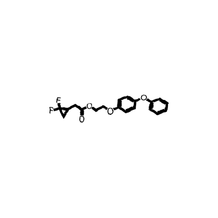 O=C(CC1CC1(F)F)OCCOc1ccc(Oc2ccccc2)cc1